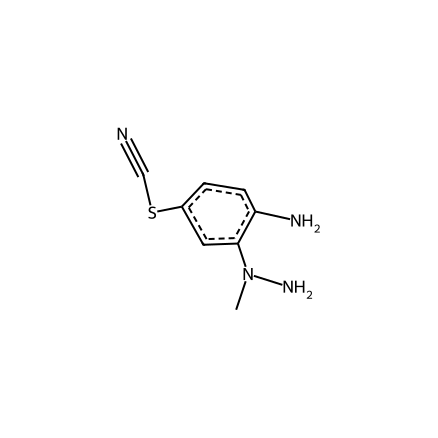 CN(N)c1cc(SC#N)ccc1N